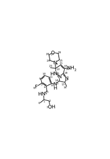 CC(CO)NCc1c(F)cccc1NC1C(C)N=C2C(N)=CC(C)(N3CCOCC3)NN21